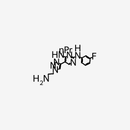 CCCNc1nc(Nc2cccc(F)c2)ncc1-c1cn(CCN)nn1